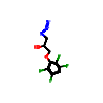 [N-]=[N+]=NCC(O)COc1c(F)c(F)cc(F)c1F